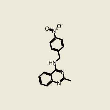 Cc1nc(NCc2ccc([N+](=O)[O-])cc2)c2ccccc2n1